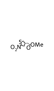 COC(=O)Cc1csc([N+](=O)[O-])c1